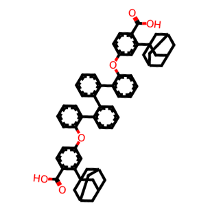 O=C(O)c1ccc(Oc2ccccc2-c2ccccc2-c2ccccc2-c2ccccc2Oc2ccc(C(=O)O)c(C34CC5CC(CC(C5)C3)C4)c2)cc1C12CC3CC(CC(C3)C1)C2